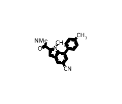 CNC(=O)c1cc2cc(C#N)cc(-c3ccc(C)cc3)c2n1C